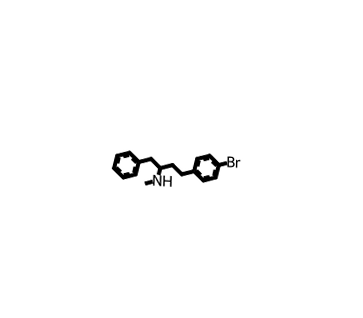 CNC(CCc1ccc(Br)cc1)Cc1ccccc1